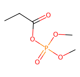 CCC(=O)OP(=O)(OC)OC